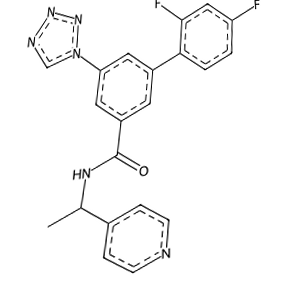 CC(NC(=O)c1cc(-c2ccc(F)cc2F)cc(-n2cnnn2)c1)c1ccncc1